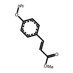 CCCOc1ccc(C=CC(=O)OC)cc1